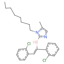 CCCCCCCCn1c(C)cnc1BC(=Cc1ccccc1Cl)c1ccccc1Cl